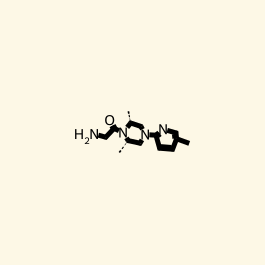 Cc1ccc(N2C[C@@H](C)N(C(=O)CN)[C@@H](C)C2)nc1